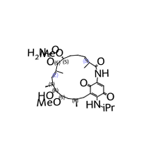 CO[C@H]1C[C@H](C)CC2=C(NC(C)C)C(=O)C=C(NC(=O)/C(C)=C/CC[C@H](OC)[C@@H](OC(N)=O)/C(C)=C/[C@H](C)[C@H]1O)C2=O